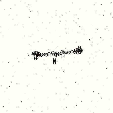 CC1(C)O[C@@H]2[C@@H](NC(=O)C(F)(F)F)[C@H]3OC[C@](COCCOCCOCCOCCNC(=O)CCOCC(COCCC(=O)NCCOCCOCCOCCOC[C@@]45CO[C@@H](O4)[C@H](NC(=O)C(F)(F)F)[C@H]4OC(C)(C)O[C@H]45)NC(=O)CCCCCN=[N+]=[N-])(O3)[C@@H]2O1